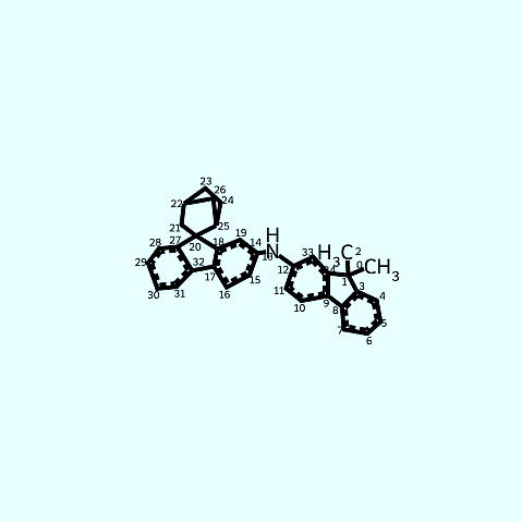 CC1(C)c2ccccc2-c2ccc(Nc3ccc4c(c3)C3(CC5CCC3C5)c3ccccc3-4)cc21